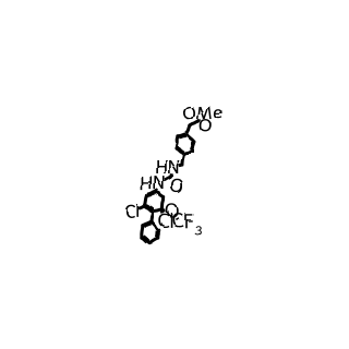 COC(=O)Cc1ccc(CNC(=O)NC2=CC(Cl)=C(c3ccccc3)C(Cl)(OC(F)(F)F)C2)cc1